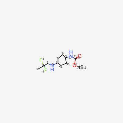 CC(F)(F)CNC1CCC(NC(=O)OC(C)(C)C)CC1